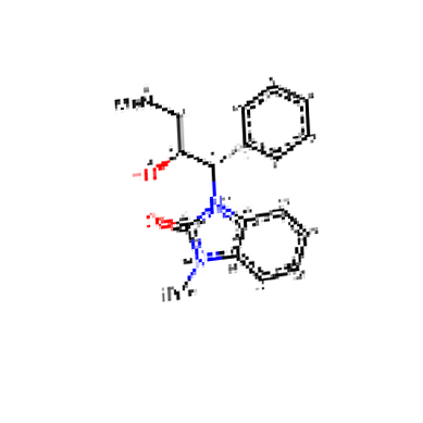 CNC[C@H](O)[C@H](c1ccccc1)n1c(=O)n(C(C)C)c2ccccc21